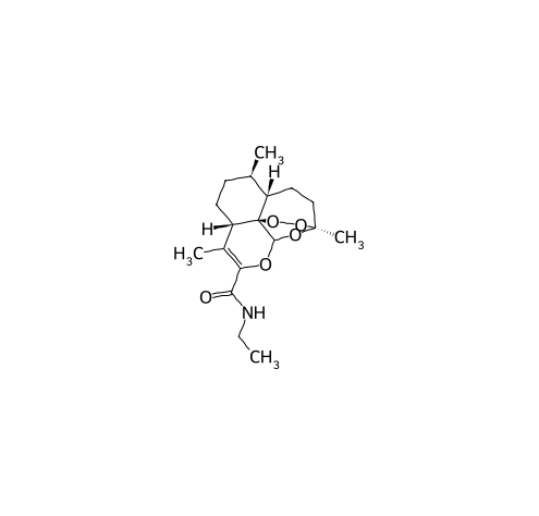 CCNC(=O)C1=C(C)[C@@H]2CC[C@@H](C)[C@@H]3CC[C@]4(C)OO[C@@]23C(O1)O4